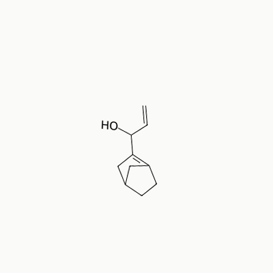 C=CC(O)C1=C2CCC(C2)C1